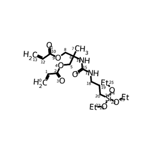 C=CC(=O)OCC(C)(COC(=O)C=C)NC(=O)NCCC[Si](OCC)(OCC)OCC